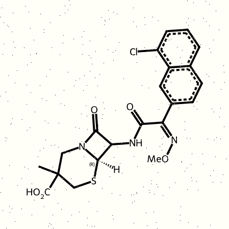 CON=C(C(=O)NC1C(=O)N2CC(C)(C(=O)O)CS[C@H]12)c1ccc2cccc(Cl)c2c1